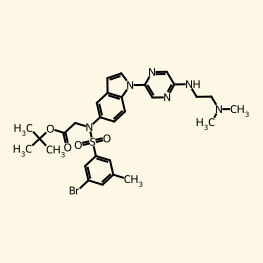 Cc1cc(Br)cc(S(=O)(=O)N(CC(=O)OC(C)(C)C)c2ccc3c(ccn3-c3cnc(NCCN(C)C)cn3)c2)c1